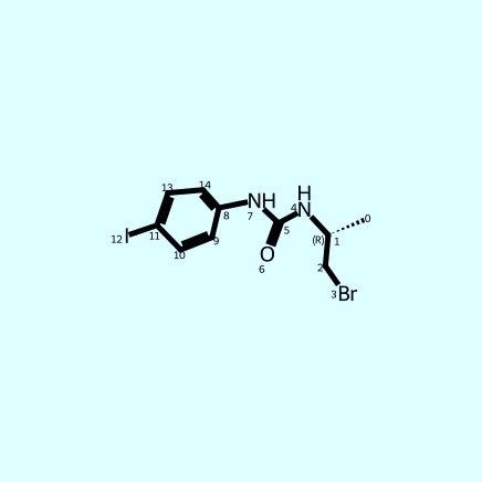 C[C@H](CBr)NC(=O)Nc1ccc(I)cc1